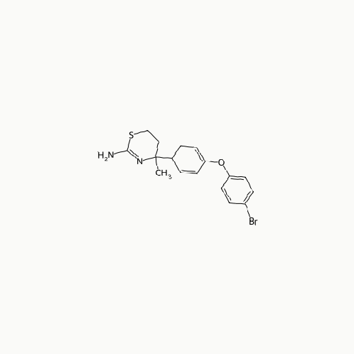 CC1(C2C=CC(Oc3ccc(Br)cc3)=CC2)CCSC(N)=N1